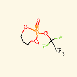 O=P1(OC(F)(F)C(F)(F)F)OCCO1